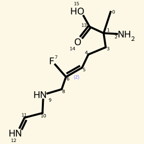 CC(N)(CC/C=C(\F)CNCC=N)C(=O)O